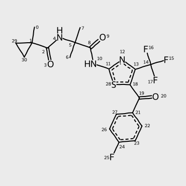 CC1(C(=O)NC(C)(C)C(=O)Nc2nc(C(F)(F)F)c(C(=O)c3ccc(F)cc3)s2)CC1